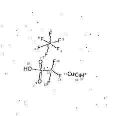 F[P-](F)(F)(F)(F)F.O=S(=O)(O)C(F)(F)F.[Cu].[Cu].[H+]